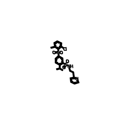 Cc1cccc(Cl)c1S(=O)(=O)c1ccc(C(C)C)c(S(=O)(=O)NCCc2ccccn2)c1